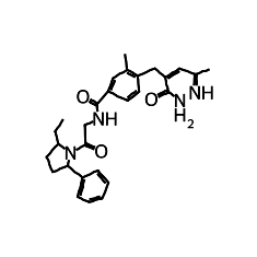 CCC1CCC(c2ccccc2)N1C(=O)CNC(=O)c1ccc(C/C(=C/C(C)=N)C(N)=O)c(C)c1